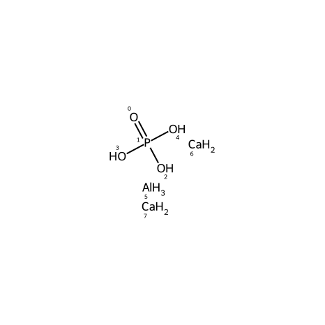 O=P(O)(O)O.[AlH3].[CaH2].[CaH2]